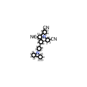 N#Cc1ccc(-c2cccc(-c3ccc(-n4c5ccccc5c5ccccc54)cc3)c2)c(-n2c3ccc(C#N)cc3c3cc(C#N)ccc32)c1